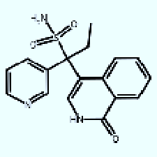 CCC(c1cccnc1)(c1c[nH]c(=O)c2ccccc12)S(N)(=O)=O